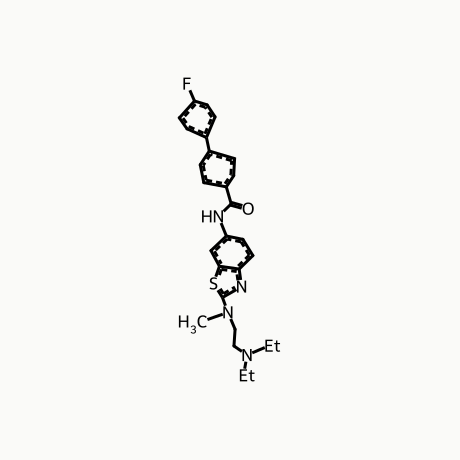 CCN(CC)CCN(C)c1nc2ccc(NC(=O)c3ccc(-c4ccc(F)cc4)cc3)cc2s1